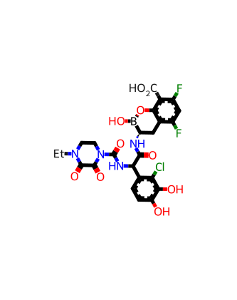 CCN1CCN(C(=O)NC(C(=O)N[C@H]2Cc3c(F)cc(F)c(C(=O)O)c3OB2O)c2ccc(O)c(O)c2Cl)C(=O)C1=O